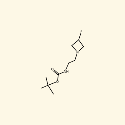 CC(C)(C)OC(=O)NCCN1CC(F)C1